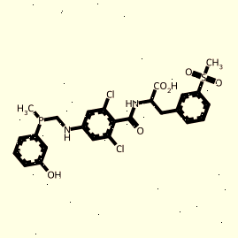 CP(CNc1cc(Cl)c(C(=O)NC(Cc2cccc(S(C)(=O)=O)c2)C(=O)O)c(Cl)c1)c1cccc(O)c1